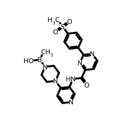 CB(O)N1CCN(c2ccncc2NC(=O)c2ccnc(-c3ccc(S(C)(=O)=O)cc3)n2)CC1